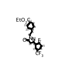 CCOC(=O)c1ccc(CCN2N=C(c3cc(C(F)(F)F)ccc3F)CC2=O)cc1